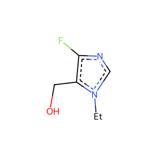 CCn1cnc(F)c1CO